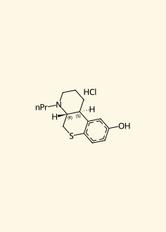 CCCN1CCC[C@H]2c3cc(O)ccc3SC[C@@H]21.Cl